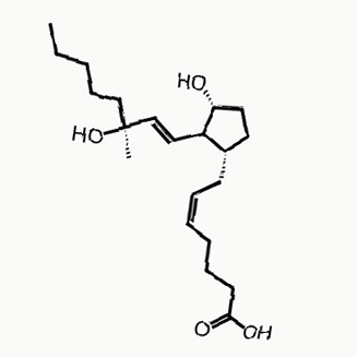 CCCCC[C@](C)(O)/C=C/C1[C@@H](C/C=C\CCCC(=O)O)CC[C@H]1O